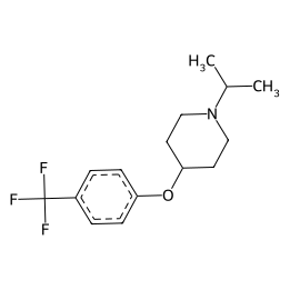 CC(C)N1CCC(Oc2ccc(C(F)(F)F)cc2)CC1